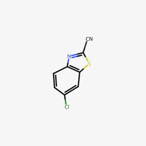 N#Cc1nc2ccc(Cl)cc2s1